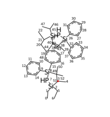 CC[Si](CC)(CC)P[Si](c1ccccc1)(c1cccc(CC(C)[Si](P[Si](c2ccccc2)(c2ccccc2)C(C)(C)C)(C(C)C)C(C)C)c1)C(C)(C)C